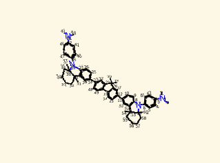 CN(C)c1ccc(N2c3ccc(-c4ccc5c(c4)C(C)(C)c4cc(-c6ccc7c(c6)C6(C)CCCCC6(C)N7c6ccc(N(C)C)cc6)ccc4-5)cc3C3(C)CCCCC23C)cc1